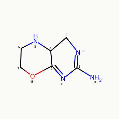 NC1=NCC2NCCOC2=N1